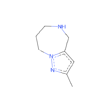 Cc1cc2n(n1)CCCNC2